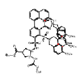 COc1ccc(CNc2ccc3cccc(-c4ccc(S(=O)(=O)N[C@@H]5CN(C(=O)OC(C)(C)C)C[C@@H]5NC(=O)OC(C)(C)C)c(S(=O)(=O)N(Cc5ccc(OC)cc5)Cc5ccc(OC)cc5)c4-c4nnn(Cc5ccc(OC)cc5)n4)c3n2)cc1